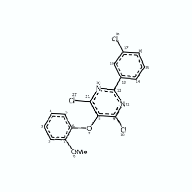 COc1ccccc1Oc1c(Cl)nc(-c2cccc(Cl)c2)nc1Cl